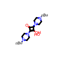 CCCCN1CCN(c2c(O)c(=[N+]3CCN(CCCC)CC3)c2=O)CC1.[OH-]